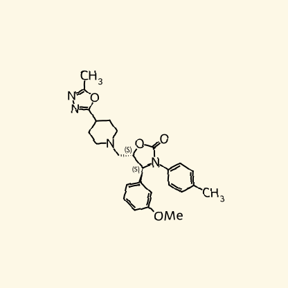 COc1cccc([C@H]2[C@H](CN3CCC(c4nnc(C)o4)CC3)OC(=O)N2c2ccc(C)cc2)c1